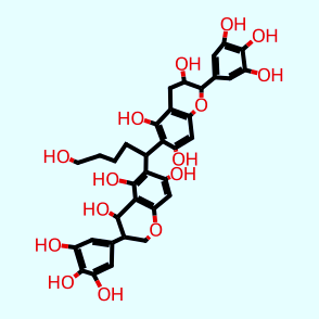 OCCCCC(c1c(O)cc2c(c1O)CC(O)C(c1cc(O)c(O)c(O)c1)O2)c1c(O)cc2c(c1O)C(O)C(c1cc(O)c(O)c(O)c1)CO2